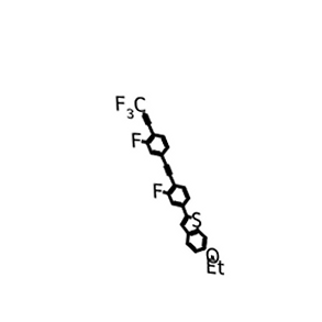 CCOc1ccc2cc(-c3ccc(C#Cc4ccc(C#CC(F)(F)F)c(F)c4)c(F)c3)sc2c1